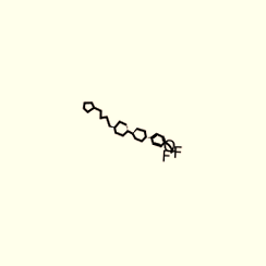 FC(F)Oc1ccc([C@H]2CC[C@H]([C@H]3CC[C@H](CCCCC4CCCC4)CC3)CC2)cc1